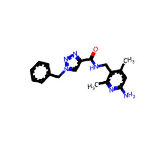 Cc1cc(N)nc(C)c1CNC(=O)c1cn(Cc2ccccc2)nn1